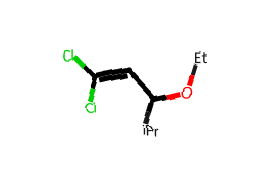 CCOC(C=C(Cl)Cl)C(C)C